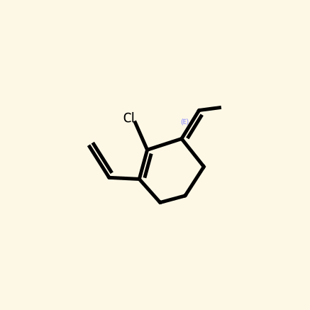 C=CC1=C(Cl)/C(=C/C)CCC1